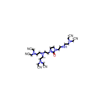 N#CCN(CC#N)CCNCCN1CCN(CCN(CCN(CC#N)CC#N)CCN(CC#N)CC#N)C1=O